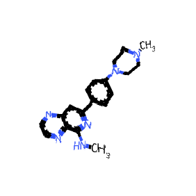 CNc1nc(-c2ccc(N3CCN(C)CC3)cc2)cc2nccnc12